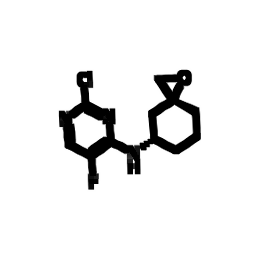 Fc1cnc(Cl)nc1N[C@H]1CCC[C@]2(CO2)C1